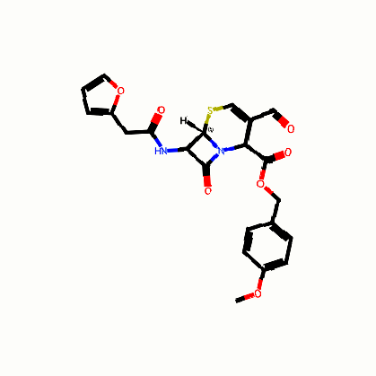 COc1ccc(COC(=O)C2C(C=O)=CS[C@H]3C(NC(=O)Cc4ccco4)C(=O)N23)cc1